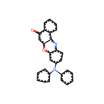 O=c1cc2oc3cc(N(c4ccccc4)c4ccccc4)ccc3nc-2c2ccccc12